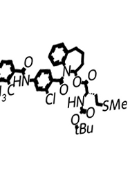 CSCC[C@H](NC(=O)OC(C)(C)C)C(=O)OC1CCCc2ccccc2N1C(=O)c1ccc(NC(=O)c2ccccc2C)cc1Cl